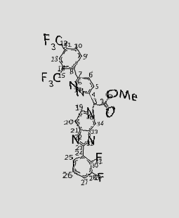 COC(=O)C(c1ccc(-c2ccc(C(F)(F)F)cc2C(F)(F)F)nn1)n1ccc2nc(-c3cccc(F)c3F)nc-2c1